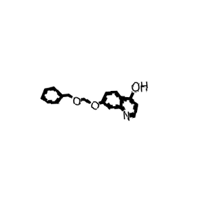 Oc1ccnc2cc(OCOCc3ccccc3)ccc12